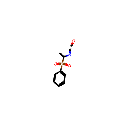 CC(N=C=O)S(=O)(=O)c1ccccc1